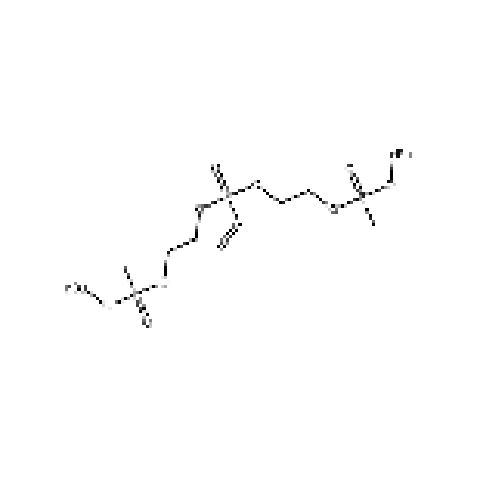 C=CP(=O)(OCCOP(C)(=O)OCCCC)OCCOP(C)(=O)OCCCC